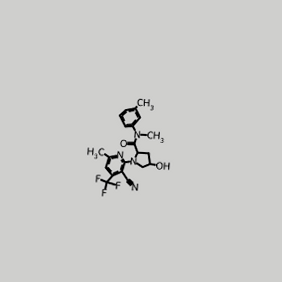 Cc1cccc(N(C)C(=O)C2CC(O)CN2c2nc(C)cc(C(F)(F)F)c2C#N)c1